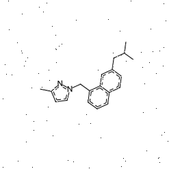 Cc1ccn(Cc2cccc3ccc(CC(C)C)cc23)n1